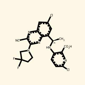 C[C@@H](Nc1ccc(Cl)nc1C(=O)O)c1cc(Cl)cc2nc(C#N)c(N3CCC(F)(F)C3)nc12